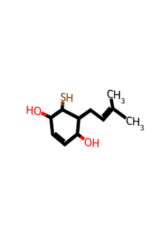 CC(C)=CCC1C(O)C=CC(O)C1S